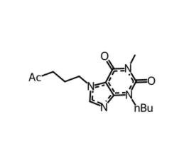 CCCCn1c(=O)n(C)c(=O)c2c1ncn2CCCC(C)=O